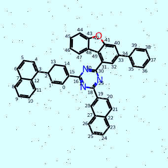 C1=CC(c2cccc3ccccc23)CC=C1c1nc(-c2ccc3ccccc3c2)nc(-c2cc(-c3ccccc3)cc3oc4ccccc4c23)n1